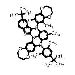 Cc1cc2c3c(c1)N(c1c(C)cc4c(c1C)OCCCO4)c1c(sc4ccc(C(C)(C)C)cc14)B3c1cc3c(cc1N2c1c(C)cc(C(C)(C)C)cc1C)OCCCO3